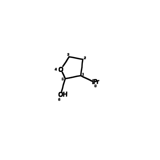 CC(C)C1CCOC1O